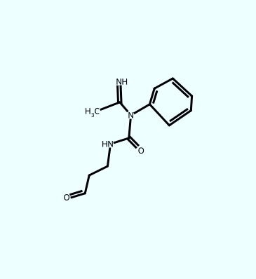 CC(=N)N(C(=O)NCCC=O)c1ccccc1